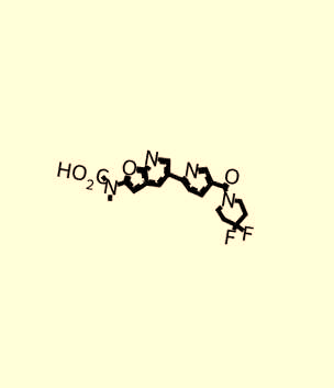 CN(C(=O)O)c1cc2cc(-c3ccc(C(=O)N4CCC(F)(F)CC4)cn3)cnc2o1